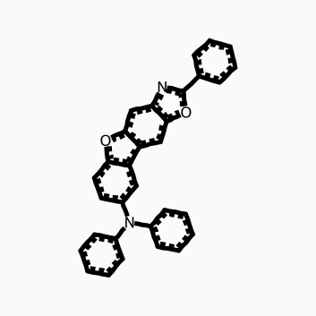 c1ccc(-c2nc3cc4oc5ccc(N(c6ccccc6)c6ccccc6)cc5c4cc3o2)cc1